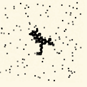 CCc1nn(C)cc1C(=O)Nc1nc2cc(C(N)=O)cc(OCCCO)c2[nH]1